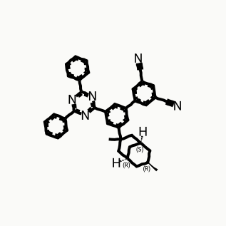 C[C@H]1C[C@@H]2C[C@H](C1)CC(C)(c1cc(-c3cc(C#N)cc(C#N)c3)cc(-c3nc(-c4ccccc4)nc(-c4ccccc4)n3)c1)C2